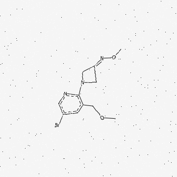 COCc1cc(Br)cnc1N1CC(=NOC)C1